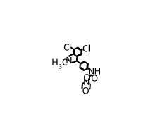 CN1Cc2c(Cl)cc(Cl)cc2C(c2ccc(NC(=O)ON3CCOCC3)cc2)C1